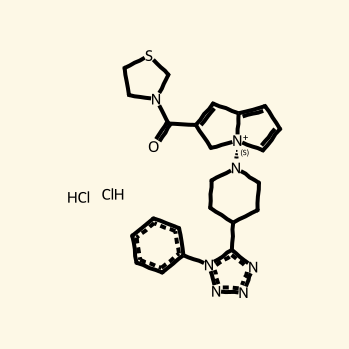 Cl.Cl.O=C(C1=CC2=CC=C[N@@+]2(N2CCC(c3nnnn3-c3ccccc3)CC2)C1)N1CCSC1